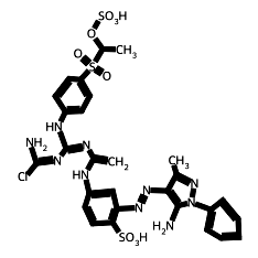 C=C(/N=C(\N=C(/N)Cl)Nc1ccc(S(=O)(=O)C(C)OS(=O)(=O)O)cc1)Nc1ccc(S(=O)(=O)O)c(N=Nc2c(C)nn(-c3ccccc3)c2N)c1